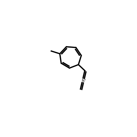 C=[N+]=CC1C=CC=C(C)C=C1